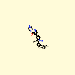 COc1ccc(-c2[nH]c3ccc(-c4ccnc(C(=O)N5CCCN(C)CC5)c4)cc3c2C(C)C)cc1OC